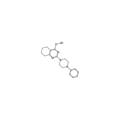 CC(C)Oc1nc(N2CCN(c3ccccc3)CC2)nc2c1CCCC2